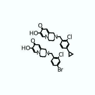 O=c1cc2n(cc1O)CCN(Cc1ccc(Br)cc1Cl)C2.O=c1cc2n(cc1O)CCN(Cc1ccc(C3CC3)cc1Cl)C2